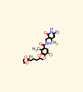 CCc1cc(C)c(CNC(=O)c2cc(Cl)c3c(c2C)OC(CCCC2(CC)OCCO2)CO3)c(=O)[nH]1